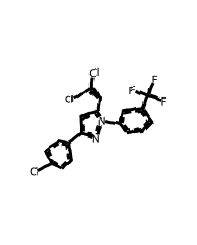 FC(F)(F)c1cccc(-n2nc(-c3ccc(Cl)cc3)cc2C=C(Cl)Cl)c1